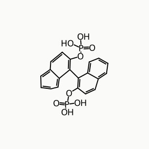 O=P(O)(O)Oc1ccc2ccccc2c1-c1c(OP(=O)(O)O)ccc2ccccc12